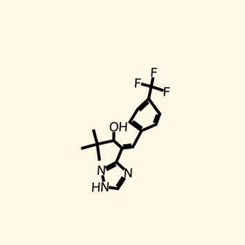 CC(C)(C)C(O)C(=Cc1ccc(C(F)(F)F)cc1)c1nc[nH]n1